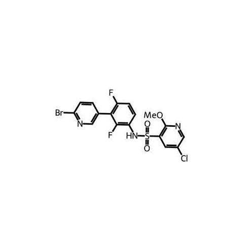 COc1ncc(Cl)cc1S(=O)(=O)Nc1ccc(F)c(-c2ccc(Br)nc2)c1F